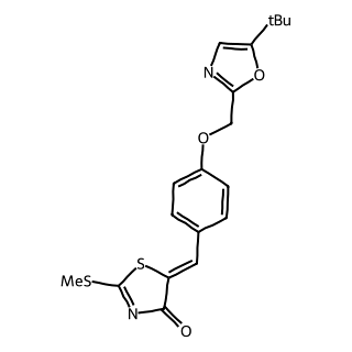 CSC1=NC(=O)C(=Cc2ccc(OCc3ncc(C(C)(C)C)o3)cc2)S1